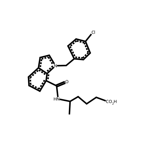 CC(CCCC(=O)O)NC(=O)c1cccc2ccn(Cc3ccc(Cl)cc3)c12